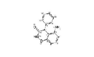 Nc1cccc2c1C(c1ccccc1)C(=O)NO2